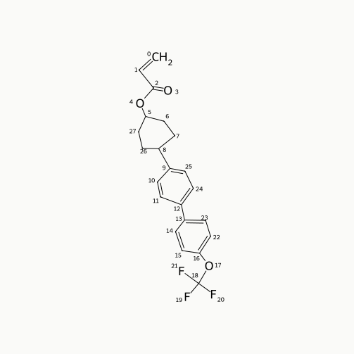 C=CC(=O)OC1CCC(c2ccc(-c3ccc(OC(F)(F)F)cc3)cc2)CC1